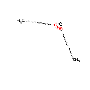 CCCCCCCCCCCCCCCCCCCCCCOC(=O)c1ccccc1C(=O)OCCCCCCCCCCCCCCCCCCCCCC